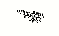 Cc1cccc(C)c1-n1c(=O)ccn(Cc2ccc([N+](=O)[O-])cc2)c1=O